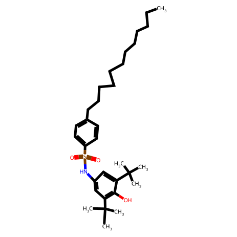 CCCCCCCCCCCCc1ccc(S(=O)(=O)Nc2cc(C(C)(C)C)c(O)c(C(C)(C)C)c2)cc1